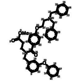 COC(=O)CCN(Cc1cccc(Oc2ccccc2)c1)C(=O)c1ccc(OCCN(Cc2ccccc2)Cc2ccccc2)cc1